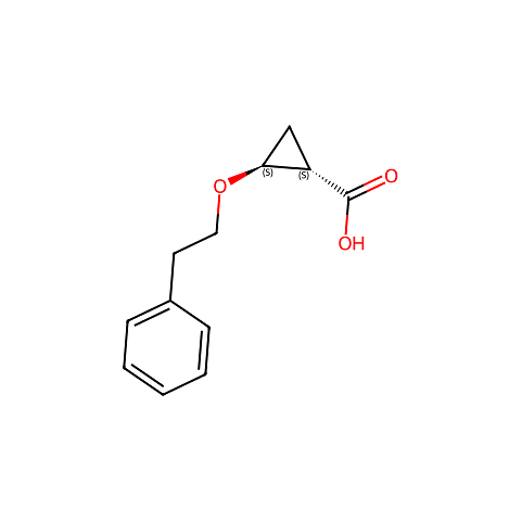 O=C(O)[C@H]1C[C@@H]1OCCc1ccccc1